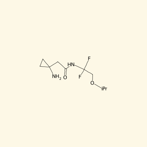 CC(C)OCC(F)(F)NC(=O)CC1(N)CC1